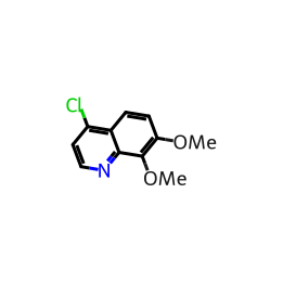 COc1ccc2c(Cl)ccnc2c1OC